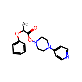 CC(=O)C(Oc1ccccc1)C(=O)ON1CCN(c2ccncc2)CC1